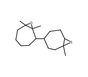 CC12CCC(C3CCCCC4(C)OC34C)CCC1S2